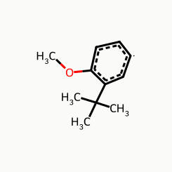 COc1cc[c]cc1C(C)(C)C